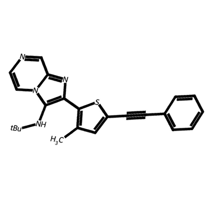 Cc1cc(C#Cc2ccccc2)sc1-c1nc2cnccn2c1NC(C)(C)C